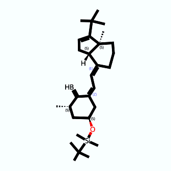 B=C1/C(=C\C=C2/CCC[C@]3(C)C(C(C)(C)C)=CC[C@@H]23)C[C@@H](O[Si](C)(C)C(C)(C)C)C[C@@H]1C